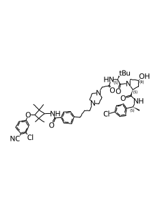 C[C@H](NC(=O)[C@@H]1C[C@@H](O)CN1C(=O)[C@@H](NC(=O)CN1CCN(CCCc2ccc(C(=O)NC3C(C)(C)C(Oc4ccc(C#N)c(Cl)c4)C3(C)C)cc2)CC1)C(C)(C)C)c1ccc(Cl)cc1